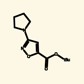 CC(C)(C)OC(=O)c1cc(N2CCCC2)no1